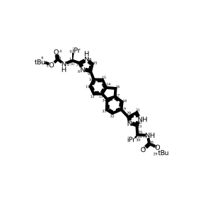 CC(C)[C@H](NC(=O)OC(C)(C)C)c1nc(-c2ccc3c(c2)Cc2cc(-c4c[nH]c([C@@H](NC(=O)OC(C)(C)C)C(C)C)n4)ccc2-3)c[nH]1